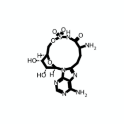 Nc1ncnc2c1nc1n2[C@@H]2O[C@H](COS(=O)(=O)NC(=O)C(N)CC1)[C@@H](O)[C@H]2O